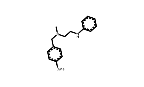 COc1ccc(CN(C)CCNc2ccccc2)cc1